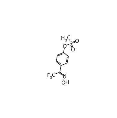 CS(=O)(=O)Oc1ccc(C(=NO)C(F)(F)F)cc1